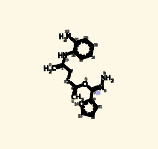 C=C(CSC(=C)O/C(=N\N)c1ccco1)Nc1ccccc1N